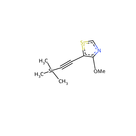 COc1ncsc1C#C[Si](C)(C)C